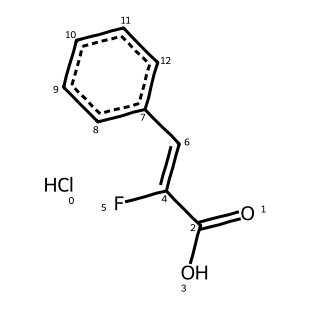 Cl.O=C(O)C(F)=Cc1ccccc1